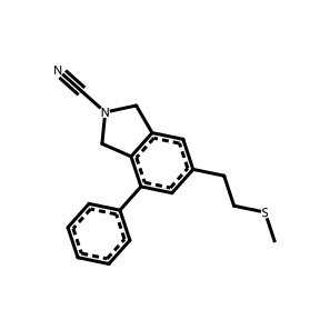 CSCCc1cc2c(c(-c3ccccc3)c1)CN(C#N)C2